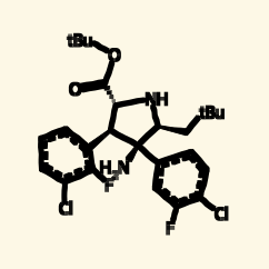 CC(C)(C)C[C@@H]1N[C@@H](C(=O)OC(C)(C)C)[C@H](c2cccc(Cl)c2F)[C@@]1(N)c1ccc(Cl)c(F)c1